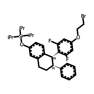 CC(C)[Si](Oc1ccc2c(c1)CC[C@@H](c1ccccc1)[C@H]2c1c(F)cc(OCCBr)cc1F)(C(C)C)C(C)C